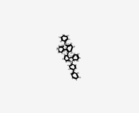 c1ccc(-c2ccc(-n3c4ccccc4c4c(-c5cccc6c5c5ccncc5n6-c5ccccc5)cccc43)cc2)cc1